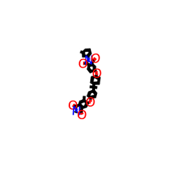 Cc1cccc(N2C(=O)c3ccc(Oc4ccc(C(C)(C)c5ccc(Oc6cc7c(cc6C)C(=O)N(C)C7=O)cc5)cc4)cc3C2=O)c1